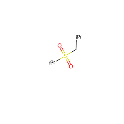 [CH2]C(C)S(=O)(=O)CC(C)C